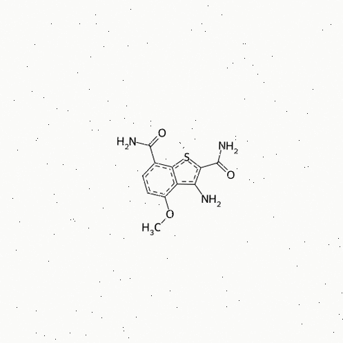 COc1ccc(C(N)=O)c2sc(C(N)=O)c(N)c12